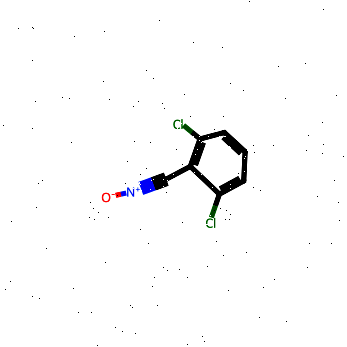 [O-][N+]#Cc1c(Cl)cccc1Cl